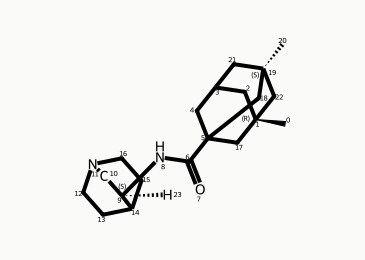 C[C@]12CC3CC(C(=O)N[C@@H]4CN5CCC4CC5)(C1)C[C@@](C)(C3)C2